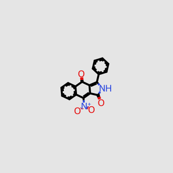 O=C1NC(c2ccccc2)=C2C(=O)c3ccccc3C([N+](=O)[O-])=C12